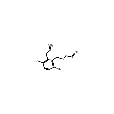 C=CCOCc1c(C(C)(C)C)ccc(O)c1CC=C